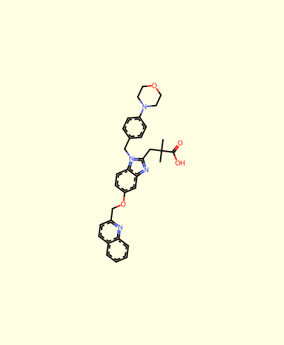 CC(C)(Cc1nc2cc(OCc3ccc4ccccc4n3)ccc2n1Cc1ccc(N2CCOCC2)cc1)C(=O)O